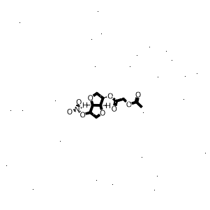 CC(=O)OCC(=O)O[C@H]1CO[C@@H]2C(O[N+](=O)[O-])CO[C@H]12